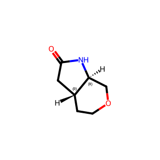 O=C1C[C@H]2CCOC[C@@H]2N1